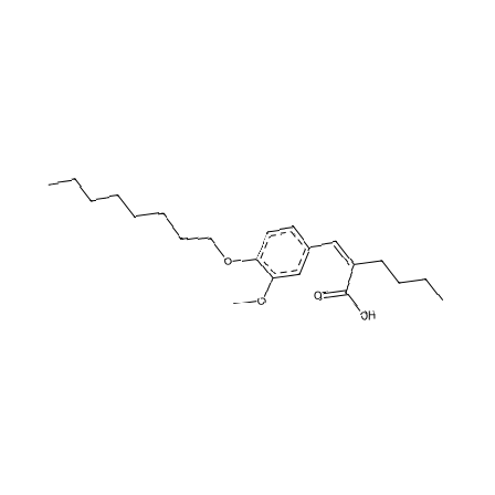 CCCCCCCCOc1ccc(C=C(CCCC)C(=O)O)cc1OC